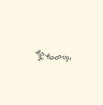 C=C(C)C(=O)Oc1ccc(-c2ccc3cc(-c4ccc(OC(=O)CCc5ccc(OC(=O)C(C)(C)C)c(OC(=O)C(=C)C)c5)cc4)ccc3c2)cc1